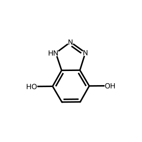 Oc1ccc(O)c2[nH]nnc12